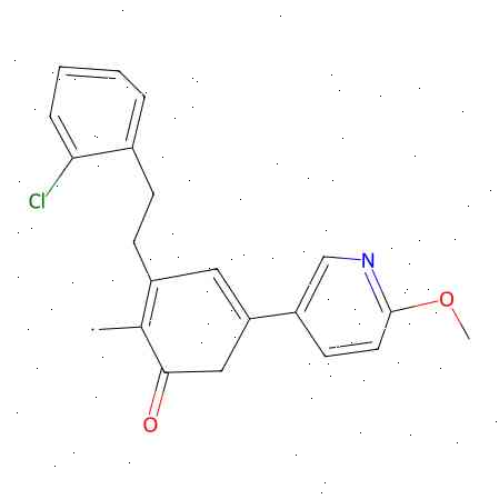 [CH2]C1=C(CCc2ccccc2Cl)C=C(c2ccc(OC)nc2)CC1=O